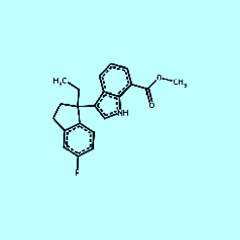 CCC1(c2c[nH]c3c(C(=O)OC)cccc23)CCc2cc(F)ccc21